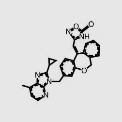 Cc1ccnc2c1nc(C1CC1)n2Cc1ccc2c(c1)OCc1ccccc1/C2=C\c1noc(=O)[nH]1